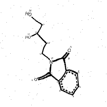 O=C1c2ccccc2C(=O)N1CCC(O)CO